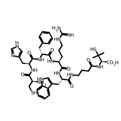 CC(C)(S)[C@H](NC(=O)CCCNC(=O)[C@H](Cc1c[nH]c2ccccc12)NC(=O)[C@H](CCCNC(=N)N)NC(=O)[C@@H](Cc1ccccc1)NC(=O)[C@H](Cc1c[nH]cn1)NC(=O)[C@@H](N)CS)C(=O)O